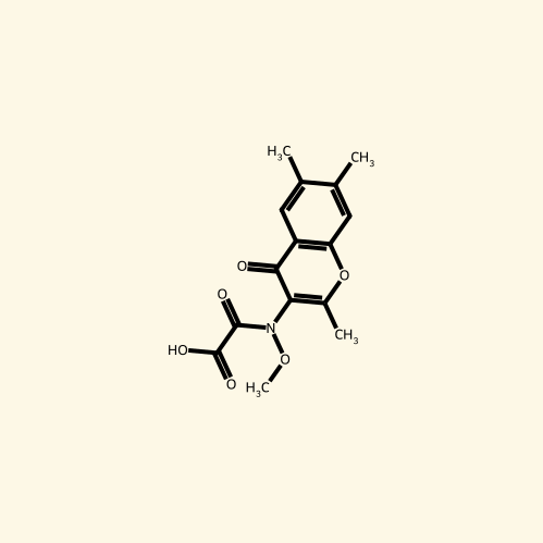 CON(C(=O)C(=O)O)c1c(C)oc2cc(C)c(C)cc2c1=O